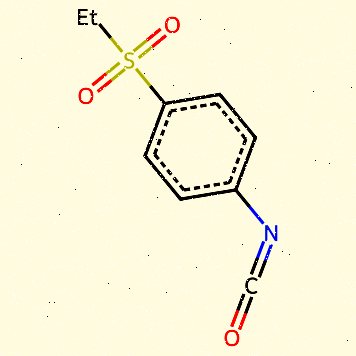 CCS(=O)(=O)c1ccc(N=C=O)cc1